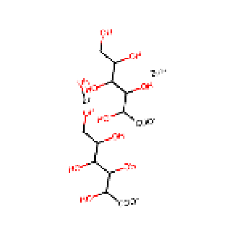 CCO.O=C([O-])C(O)C(O)C(O)C(O)CO.O=C([O-])C(O)C(O)C(O)C(O)CO.[Zn+2]